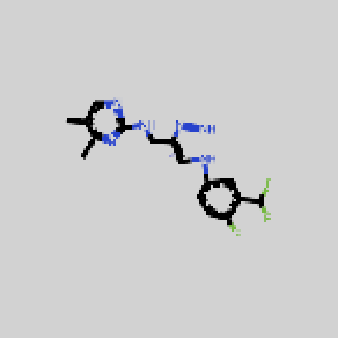 Cc1cnc(NC/C(=C/Nc2ccc(F)c(C(F)F)c2)N=N)nc1C